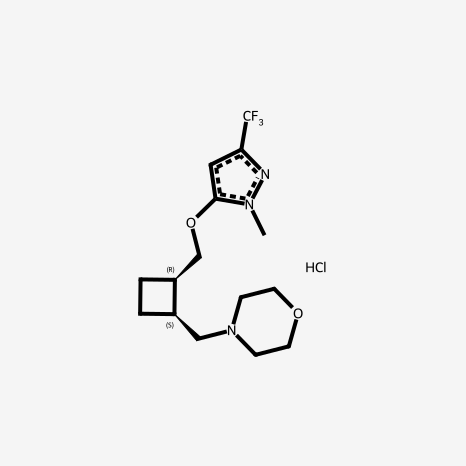 Cl.Cn1nc(C(F)(F)F)cc1OC[C@@H]1CC[C@@H]1CN1CCOCC1